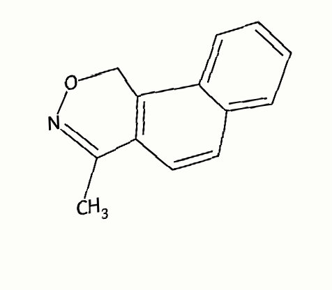 CC1=NOCc2c1ccc1ccccc21